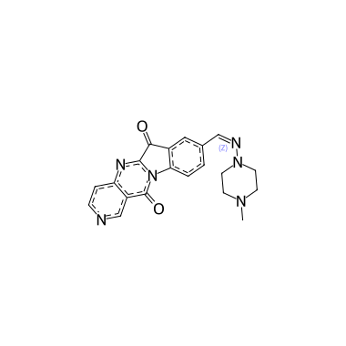 CN1CCN(/N=C\c2ccc3c(c2)C(=O)c2nc4ccncc4c(=O)n2-3)CC1